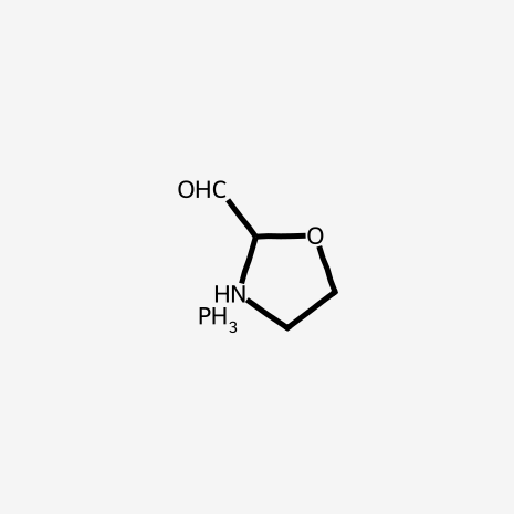 O=CC1NCCO1.P